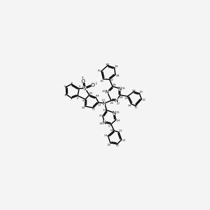 O=S1(=O)c2ccccc2-c2ccc(N(c3cnc(-c4ccccc4)cn3)c3nc(-c4ccccc4)nc(-c4ccccc4)n3)cc21